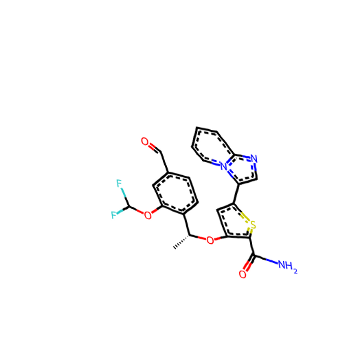 C[C@@H](Oc1cc(-c2cnc3ccccn23)sc1C(N)=O)c1ccc(C=O)cc1OC(F)F